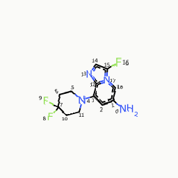 Nc1cc(N2CCC(F)(F)CC2)c2ncc(F)n2c1